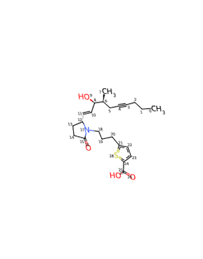 CCCC#CC[C@H](C)[C@H](O)/C=C/[C@H]1CCC(=O)N1CCCc1ccc(C(=O)O)s1